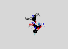 COc1cc(C(=O)NC[C@](O)(c2cc3c(c(-c4ccc(F)cc4)n2)OC[C@]3(CF)C(N)=O)C(F)(F)F)cc2cc(C(F)(F)F)cnc12